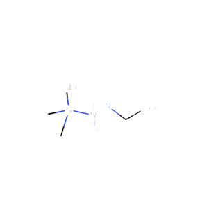 CCC[N+](C)(C)N.NCC(=O)[O-]